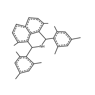 Cc1cc(C)c(C2NC(c3c(C)cc(C)cc3C)c3c(C)ccc4ccc(C)c2c34)c(C)c1